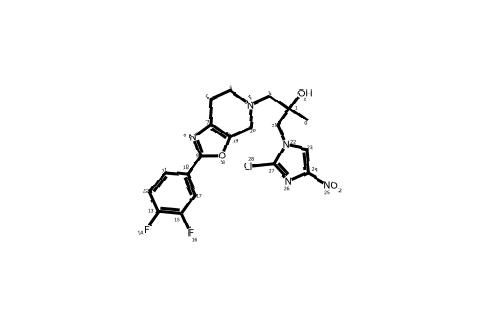 CC(O)(CN1CCc2nc(-c3ccc(F)c(F)c3)oc2C1)Cn1cc([N+](=O)[O-])nc1Cl